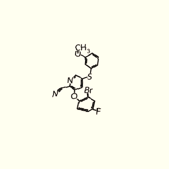 COc1cccc(Sc2cnc(C#N)c(Oc3ccc(F)cc3Br)c2)c1